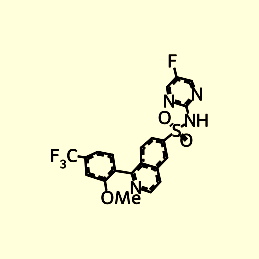 COc1cc(C(F)(F)F)ccc1-c1nccc2cc(S(=O)(=O)Nc3ncc(F)cn3)ccc12